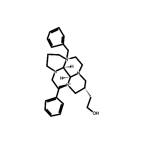 OCC[C@H]1CN2CC[N+]3(Cc4ccccc4)CCCN4CC[N+](Cc5ccccc5)(C1)[C@H]2[C@@H]43